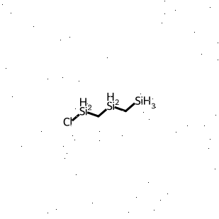 [SiH3]C[SiH2]C[SiH2]Cl